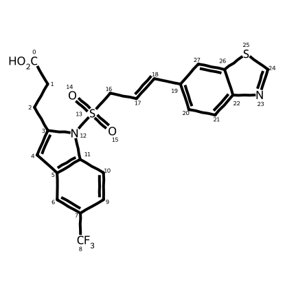 O=C(O)CCc1cc2cc(C(F)(F)F)ccc2n1S(=O)(=O)CC=Cc1ccc2ncsc2c1